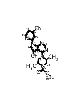 C[C@@H]1CN(c2ncnc3c2c(C(F)(F)F)cn3-c2cc(C#N)ccn2)[C@@H](C)CN1C(=O)OC(C)(C)C